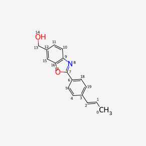 C/C=C/c1ccc(-c2nc3ccc(CO)cc3o2)cc1